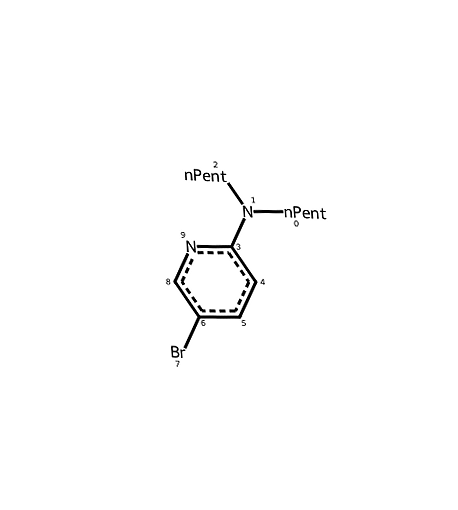 CCCCCN(CCCCC)c1ccc(Br)cn1